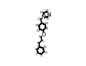 c1ccc(CCCOc2ccc(Cn3ccnc3)cc2)cc1